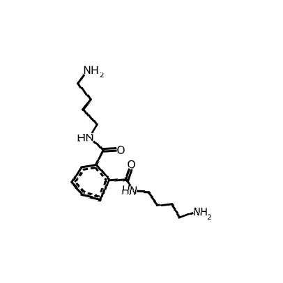 NCCCCNC(=O)c1ccccc1C(=O)NCCCCN